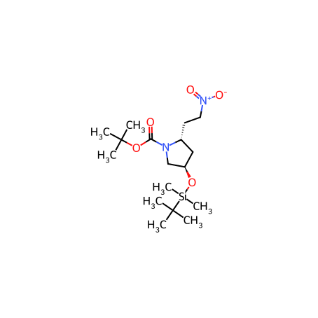 CC(C)(C)OC(=O)N1C[C@H](O[Si](C)(C)C(C)(C)C)C[C@H]1CC[N+](=O)[O-]